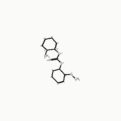 COC1CCCCC1OC(=O)OC1CCCCC1C